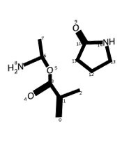 C=C(C)C(=O)OC(C)N.O=C1CCCN1